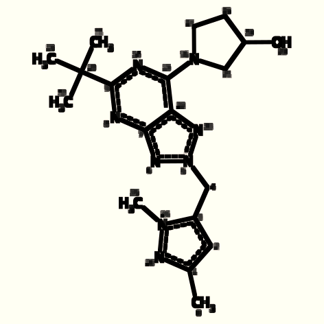 Cc1cc(Cn2nc3nc(C(C)(C)C)nc(N4CCC(O)C4)c3n2)n(C)n1